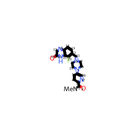 CNC(=O)c1ccc(N2CCN(Cc3ccc4ncc(=O)[nH]c4c3F)CC2)cn1